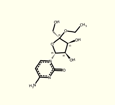 CCO[C@]1(CO)O[C@@H](n2ccc(N)nc2=O)[C@H](O)[C@@H]1O